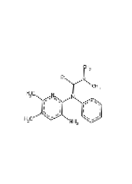 CCC(N(C)C)N(c1ccccc1)c1nc(C)c(C)cc1N